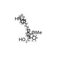 COCc1ccccc1C(C(=O)O)N1CC[C@@H](OCCCCc2ccc3c(n2)CCCN3)C1